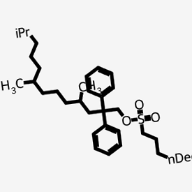 CCCCCCCCCCCCCS(=O)(=O)OCC(CC(C)CCCC(C)CCCC(C)C)(c1ccccc1)c1ccccc1